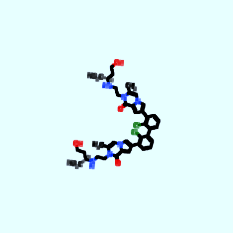 Cc1cn2cc(-c3cccc(-c4cccc(-c5cc6c(=O)n(CCN[C@@H](CCO)C(=O)O)c(C)cn6c5)c4Cl)c3Cl)cc2c(=O)n1CCN[C@@H](CCO)C(=O)O